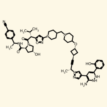 CC(C)[C@@H](C(=O)N1C[C@H](O)C[C@H]1C(=O)N[C@@H](C)c1ccc(C#N)cc1)c1cc(N2CCC(CN3CCC(O[C@H]4C[C@H](C#C[C@@H](C)n5cc(C6=C(N)NNC(c7ccccc7O)=C6)cn5)C4)CC3)CC2)no1